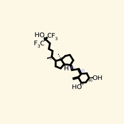 C=C1/C(=C\C=C2/CCC[C@]3(C)C([C@@H](C)CCCC(O)(C(F)(F)F)C(F)(F)F)CC[C@@H]23)C[C@@H](O)C[C@@H]1O